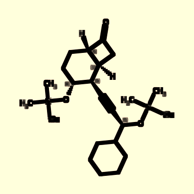 CC(C)(C)[Si](C)(C)O[C@H](C#C[C@@H]1[C@@H]2CC(=O)[C@H]2CC[C@H]1O[Si](C)(C)C(C)(C)C)C1CCCCC1